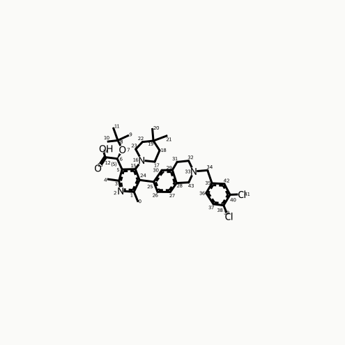 Cc1nc(C)c([C@H](OC(C)(C)C)C(=O)O)c(N2CCC(C)(C)CC2)c1-c1ccc2c(c1)CCN(Cc1ccc(Cl)c(Cl)c1)C2